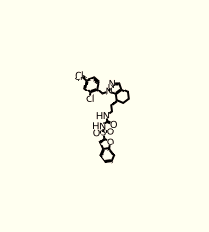 O=C(NCC=C1CCCc2cnn(Cc3ccc(Cl)cc3Cl)c21)NS(=O)(=O)c1cc2ccccc2o1